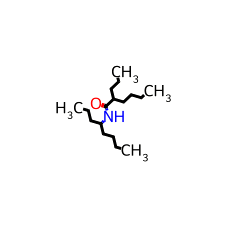 CCCCC(CCC)NC(=O)C(CCC)CCCC